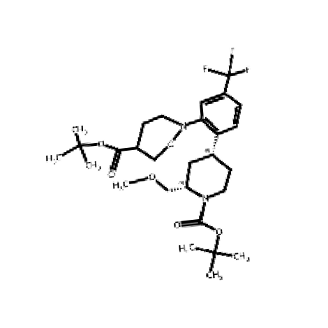 COC[C@@H]1C[C@H](c2ccc(C(F)(F)F)cc2N2CCC(C(=O)OC(C)(C)C)CC2)CCN1C(=O)OC(C)(C)C